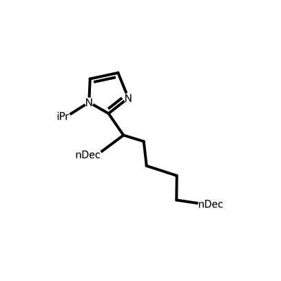 CCCCCCCCCCCCCCC(CCCCCCCCCC)c1nccn1C(C)C